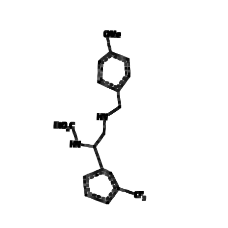 CCOC(=O)NC(CNCc1ccc(OC)cc1)c1cccc(C(F)(F)F)c1